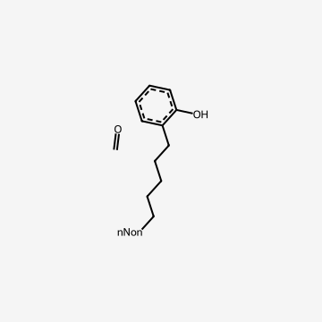 C=O.CCCCCCCCCCCCCCc1ccccc1O